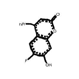 CCCc1cc(=O)oc2cc(O)c(F)cc12